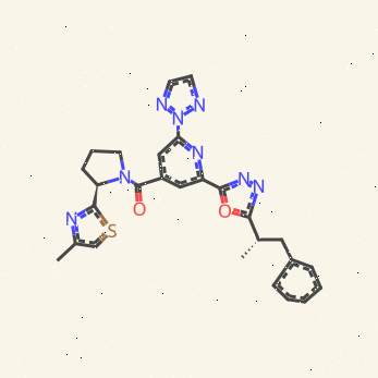 Cc1csc([C@H]2CCCN2C(=O)c2cc(-c3nnc([C@@H](C)Cc4ccccc4)o3)nc(-n3nccn3)c2)n1